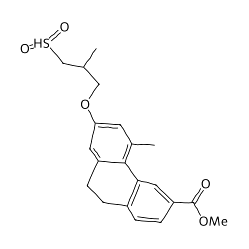 COC(=O)c1ccc2c(c1)-c1c(C)cc(OCC(C)C[SH](=O)=O)cc1CC2